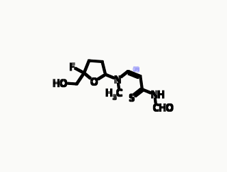 CN(/C=C\C(=S)NC=O)C1CCC(F)(CO)O1